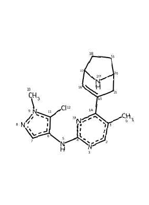 Cc1cnc(Nc2cnn(C)c2Cl)nc1C1=CC2CCC(C1)N2